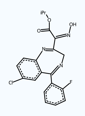 CC(C)OC(=O)/C(=N\O)C1=Nc2ccc(Cl)cc2C(c2ccccc2F)=NC1